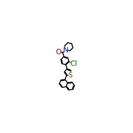 O=C(c1ccc(-c2csc(-c3cccc4ccccc34)c2)c(Cl)c1)N1CCCCC1